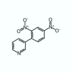 O=[N+]([O-])c1ccc(-c2cccnc2)c([N+](=O)[O-])c1